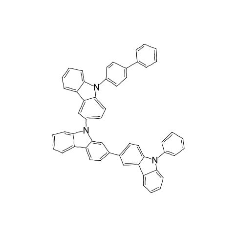 c1ccc(-c2ccc(-n3c4ccccc4c4cc(-n5c6ccccc6c6ccc(-c7ccc8c(c7)c7ccccc7n8-c7ccccc7)cc65)ccc43)cc2)cc1